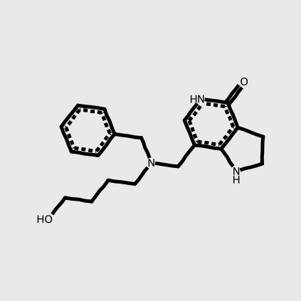 O=c1[nH]cc(CN(CCCCO)Cc2ccccc2)c2c1CCN2